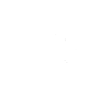 Cc1c(OC(=O)O)c2cc(Cl)ccc2[nH]c1=O